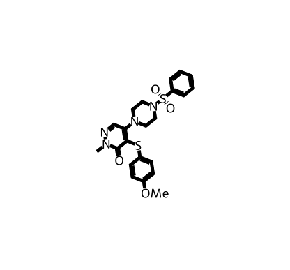 COc1ccc(Sc2c(N3CCN(S(=O)(=O)c4ccccc4)CC3)cnn(C)c2=O)cc1